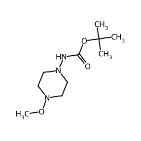 CON1CCN(NC(=O)OC(C)(C)C)CC1